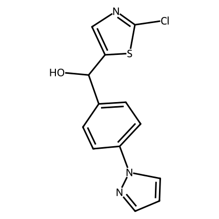 OC(c1ccc(-n2cccn2)cc1)c1cnc(Cl)s1